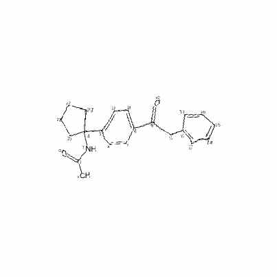 O=C(O)NC1(c2ccc(C(=O)Cc3ccccc3)cc2)CCCC1